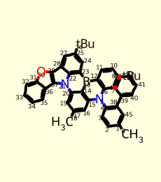 Cc1ccc(N2c3cc(C(C)(C)C)ccc3B3c4c2cc(C)cc4-n2c4c3cc(C(C)(C)C)cc4c3oc4ccccc4c32)c(-c2ccccc2)c1